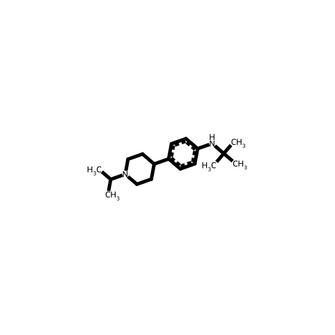 CC(C)N1CCC(c2ccc(NC(C)(C)C)cc2)CC1